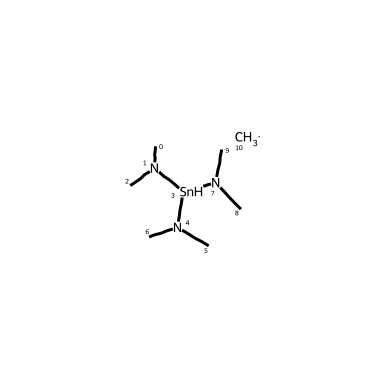 C[N](C)[SnH]([N](C)C)[N](C)C.[CH3]